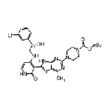 CCCCOC(=O)N1CCN(c2nc(C)c3nc(-c4c(NC[C@@H](O)c5cccc(Cl)c5)cc[nH]c4=O)[nH]c3n2)CC1